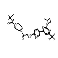 C[C@H]1CCN1c1nc(-c2ccc(OCC(=O)N3CCN(C(=O)OC(C)(C)C)CC3)nc2)cc(C(F)(F)F)n1